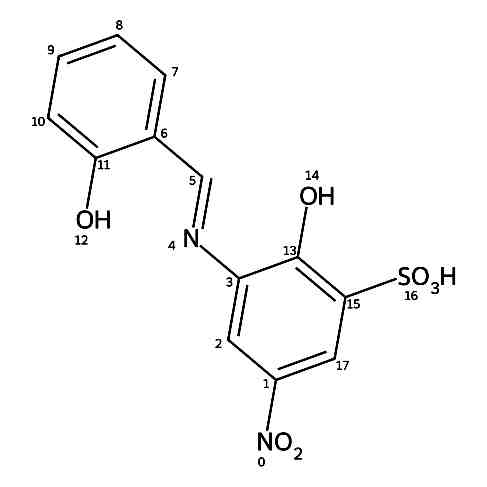 O=[N+]([O-])c1cc(N=Cc2ccccc2O)c(O)c(S(=O)(=O)O)c1